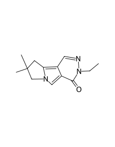 CCn1ncc2c3n(cc2c1=O)CC(C)(C)C3